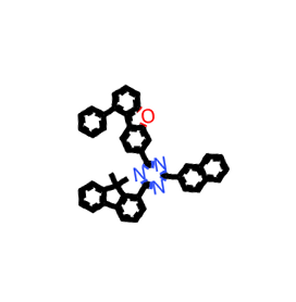 CC1(C)c2ccccc2-c2cccc(-c3nc(-c4ccc5ccccc5c4)nc(-c4ccc5c(c4)oc4cccc(-c6ccccc6)c45)n3)c21